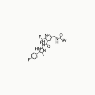 Cc1nc(NC(=O)c2cc(CNC(=O)C(C)C)cnc2C(F)F)[nH]c1-c1ccc(F)cc1